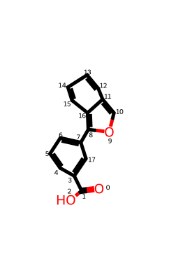 O=C(O)c1cccc(-c2occ3ccccc23)c1